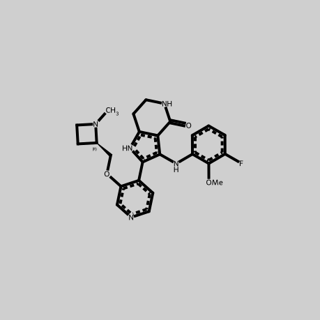 COc1c(F)cccc1Nc1c(-c2ccncc2OC[C@H]2CCN2C)[nH]c2c1C(=O)NCC2